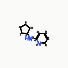 [c]1ccnc(NC2CCCC2)c1